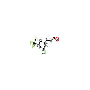 O=CCCc1cc(Cl)cc(C(F)(F)F)c1